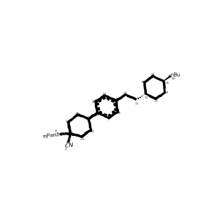 CCCCCC1(C#N)CCC(c2ccc(CC[C@H]3CC[C@H](CCCC)CC3)cc2)CC1